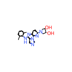 Cc1cccc(C)c1Nc1nc2ccc(N3C[C@@H](O)[C@H](O)C3)nc2n2cncc12